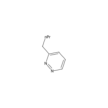 [CH2]CCCc1cccnn1